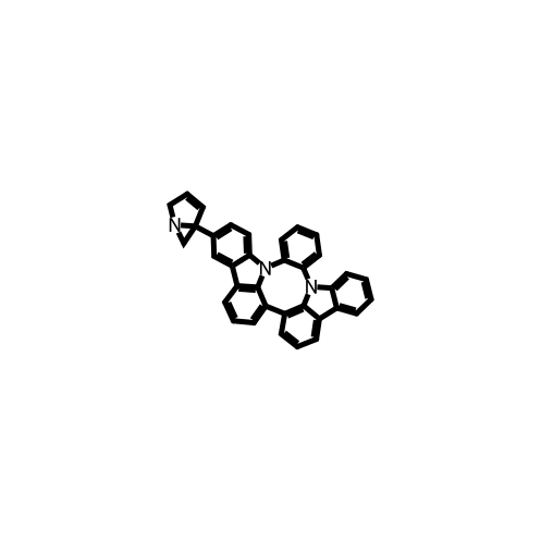 C1=CC2(c3ccc4c(c3)c3cccc5c6cccc7c8ccccc8n(c8ccccc8n4c35)c76)CN2C1